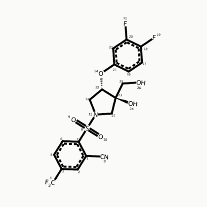 N#Cc1cc(C(F)(F)F)ccc1S(=O)(=O)N1C[C@H](Oc2ccc(F)c(F)c2)[C@](O)(CO)C1